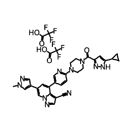 Cn1cc(-c2cc(-c3ccc(N4CCN(C(=O)c5cc(C6CC6)[nH]n5)CC4)nc3)c3c(C#N)cnn3c2)cn1.O=C(O)C(F)(F)F.O=C(O)C(F)(F)F